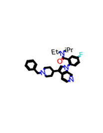 CCN(C(=O)c1cc(F)ccc1-n1cc(C2CCN(Cc3ccccc3)CC2)c2ccncc21)C(C)C